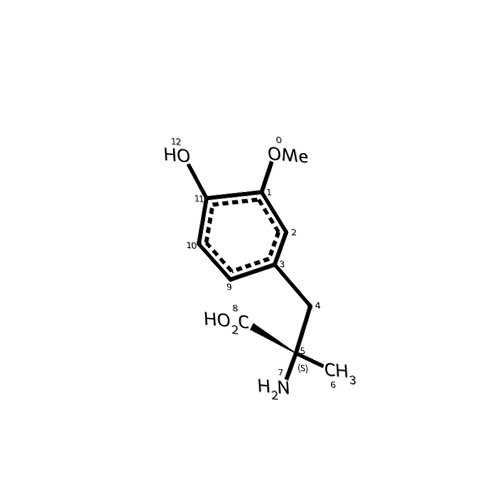 COc1cc(C[C@](C)(N)C(=O)O)ccc1O